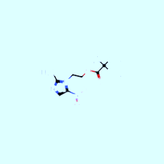 Cc1ncc([N+](=O)[O-])n1CCOC(=O)C(C)(C)C